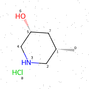 C[C@@H]1CNC[C@H](O)C1.Cl